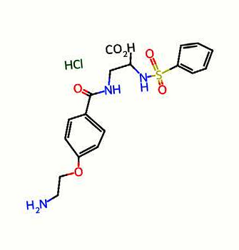 Cl.NCCOc1ccc(C(=O)NCC(NS(=O)(=O)c2ccccc2)C(=O)O)cc1